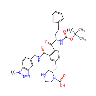 Cn1nnc2cc(CNC(=O)c3cc(C[C@H]4CNCCN4C(=O)O)ccc3C(=O)C(CCc3ccccc3)NC(=O)OC(C)(C)C)ccc21